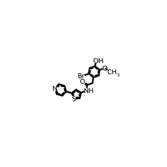 COc1cc(CC(=O)Nc2csc(-c3ccncc3)c2)c(Br)cc1O